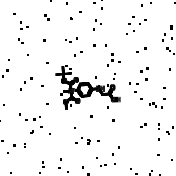 COC(=O)[N+](C)(C(=O)OC(C)(C)C)c1ccc(NCC(=O)O)cc1